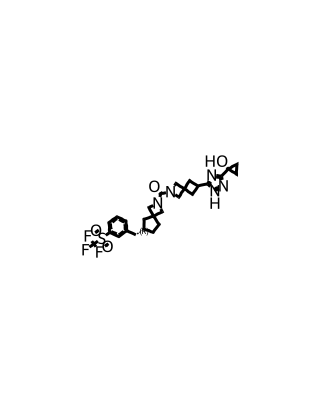 O=C(N1CC2(CC(c3nc(C4(O)CC4)n[nH]3)C2)C1)N1CC2(CC[C@H](Cc3cccc(S(=O)(=O)C(F)(F)F)c3)C2)C1